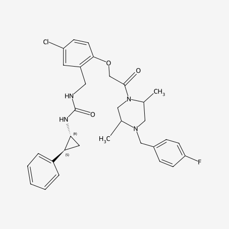 CC1CN(C(=O)COc2ccc(Cl)cc2CNC(=O)N[C@@H]2C[C@H]2c2ccccc2)C(C)CN1Cc1ccc(F)cc1